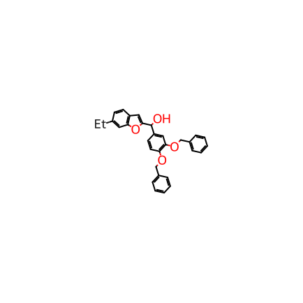 CCc1ccc2cc(C(O)c3ccc(OCc4ccccc4)c(OCc4ccccc4)c3)oc2c1